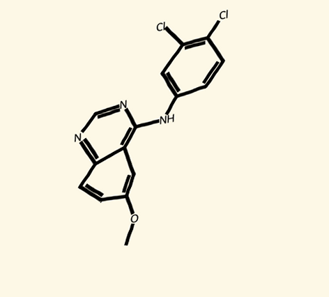 COc1[c]cc2ncnc(Nc3ccc(Cl)c(Cl)c3)c2c1